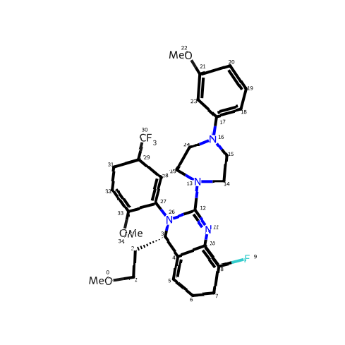 COCC[C@H]1C2=CCCC(F)=C2N=C(N2CCN(c3cccc(OC)c3)CC2)N1C1=CC(C(F)(F)F)CC=C1OC